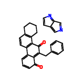 C1=CC2=CN=CC2=N1.O=C1C=CC=C2C1=C(Cc1ccccc1)C(=O)c1c2ccc2c1CCCC2